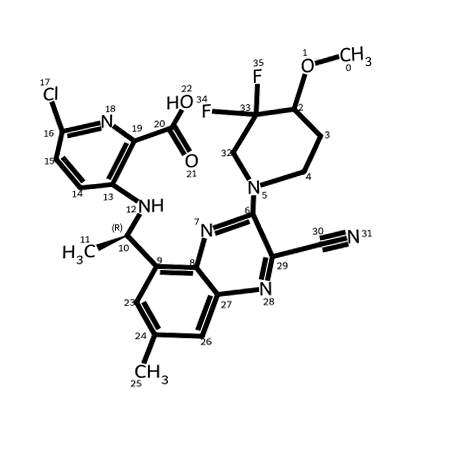 COC1CCN(c2nc3c([C@@H](C)Nc4ccc(Cl)nc4C(=O)O)cc(C)cc3nc2C#N)CC1(F)F